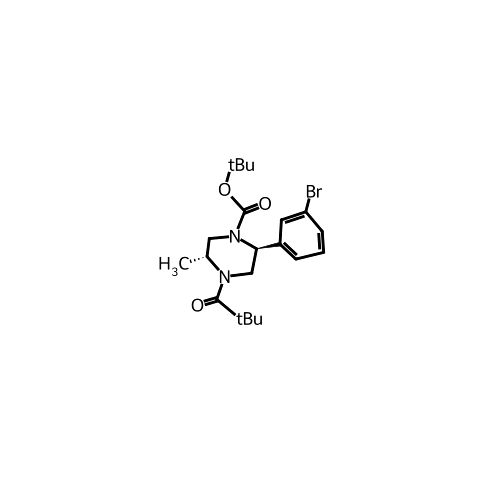 C[C@@H]1CN(C(=O)OC(C)(C)C)[C@@H](c2cccc(Br)c2)CN1C(=O)C(C)(C)C